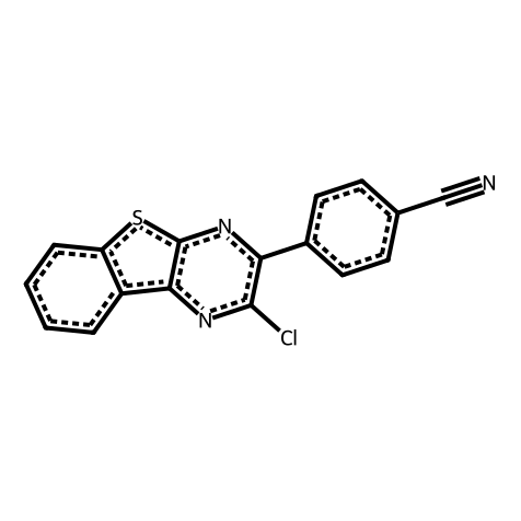 N#Cc1ccc(-c2nc3sc4ccccc4c3nc2Cl)cc1